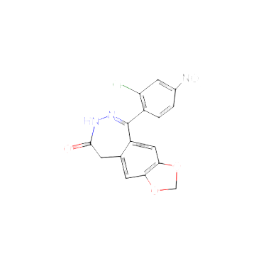 O=C1Cc2cc3c(cc2C(c2ccc([N+](=O)[O-])cc2Cl)=NN1)OCO3